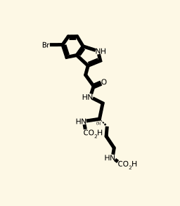 O=C(O)NCCC[C@@H](CNC(=O)Cc1c[nH]c2ccc(Br)cc12)NC(=O)O